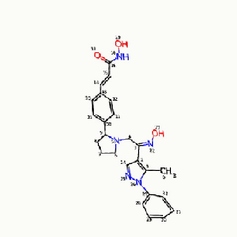 Cc1c(/C(CN2CCC[C@H]2c2ccc(/C=C/C(=O)NO)cc2)=N/O)cnn1-c1ccccc1